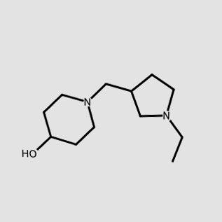 CCN1CCC(CN2CCC(O)CC2)C1